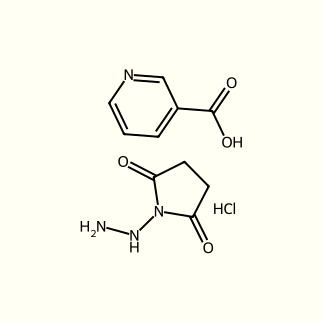 Cl.NNN1C(=O)CCC1=O.O=C(O)c1cccnc1